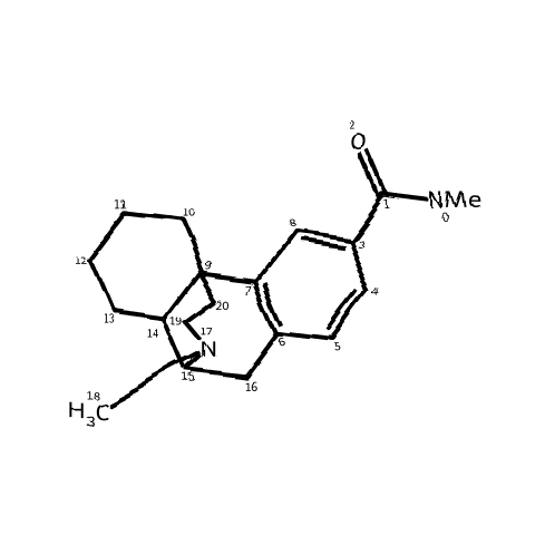 CNC(=O)c1ccc2c(c1)C13CCCCC1C(C2)N(C)CC3